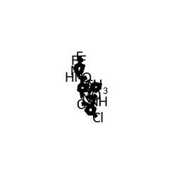 Cc1cc(CN2C(=O)c3ccc(Cl)cc3NC(=O)[C@H]2Cc2ccccn2)ccc1C(=O)Nc1ccc(C(F)(F)F)cn1